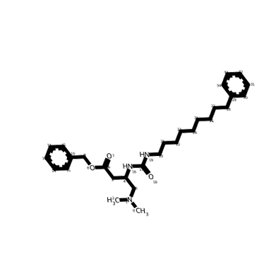 CN(C)CC(CC(=O)OCc1ccccc1)NC(=O)NCCCCCCCCCc1ccccc1